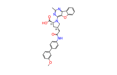 COc1cccc(-c2ccc(NC(=O)C[C@H]3C[C@@H](C(=O)O)N(c4nc(C)nc5c4oc4ccccc45)C3)cc2)c1